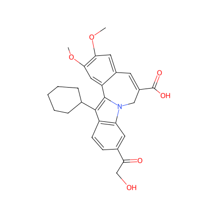 COc1cc2c(cc1OC)-c1c(C3CCCCC3)c3ccc(C(=O)CO)cc3n1CC(C(=O)O)=C2